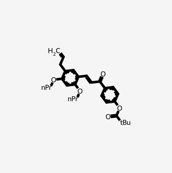 C=CCc1cc(C=CC(=O)c2ccc(OC(=O)C(C)(C)C)cc2)c(OCCC)cc1OCCC